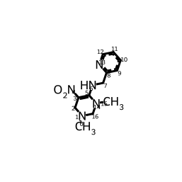 CN1CC([N+](=O)[O-])=C(NCc2ccccn2)N(C)C1